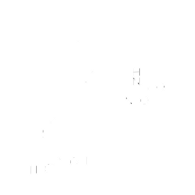 C=C(O)c1ccc(CCC(/C=C\c2ccccc2)Cc2ccc(-c3noc(=O)[nH]3)cc2)cc1